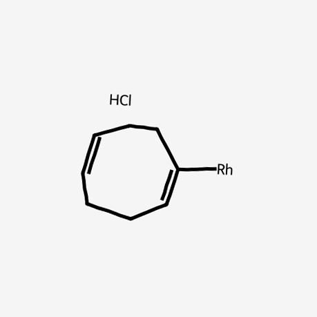 Cl.[Rh][C]1=CCCC=CCC1